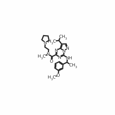 COc1cccc(C(C)Nc2nc(C(=O)N(C)CCN3CCCC3)nc3c(C(C)C)cnn23)c1